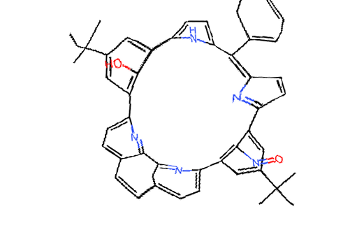 CC(C)(C)c1cc2c3nc(c(C4=CC=CCC4)c4ccc([nH]4)c4cc(C(C)(C)C)cc(c4O)c4ccc5ccc6ccc(nc6c5n4)c(c1)c2N=O)C=C3